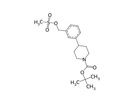 CC(C)(C)OC(=O)N1CCC(c2cccc(COS(C)(=O)=O)c2)CC1